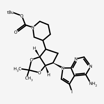 CC(C)(C)OC(=O)N1CCCC(C2C[C@@H](n3cc(I)c4c(N)ncnc43)[C@@H]3OC(C)(C)O[C@H]23)C1